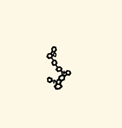 c1ccc(-n2c3ccccc3c3cc4c5ccccc5n(-c5ccc(-c6ccc(-c7cccc8c7oc7ccccc78)cc6)cc5)c4cc32)cc1